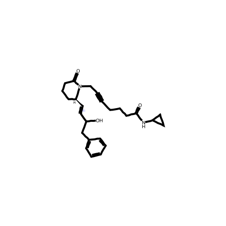 O=C(CCCC#CCN1C(=O)CCC[C@@H]1/C=C/C(O)Cc1ccccc1)NC1CC1